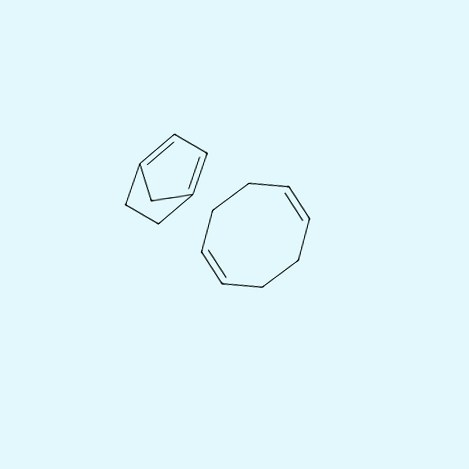 C1=C2CCC(=C1)C2.C1=CCCC=CCC1